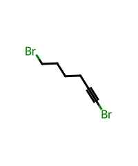 BrC#CCCCCBr